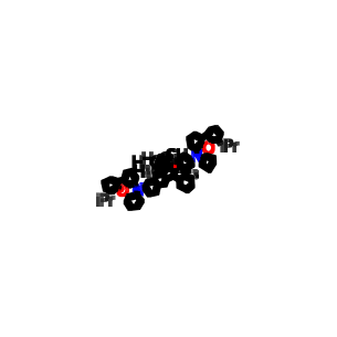 CC(C)c1cccc2c1oc1c(N(c3ccccc3)c3ccc4cc5c(cc4c3)C([Si](C)(C)C)([Si](C)(C)C)c3c-5c4ccccc4c4cc(N(c5ccccc5)c5cccc6c5oc5c(C(C)C)cccc56)ccc34)cccc12